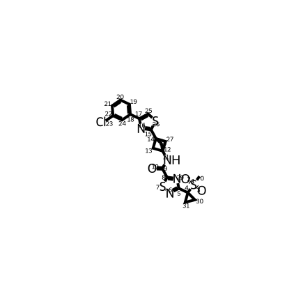 CS(=O)(=O)C1(c2nsc(C(=O)NC34CC(c5nc(-c6cccc(Cl)c6)cs5)(C3)C4)n2)CC1